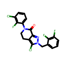 O=C1c2nn(Cc3cccc(F)c3F)c(Cl)c2CCN1c1cccc(Cl)c1F